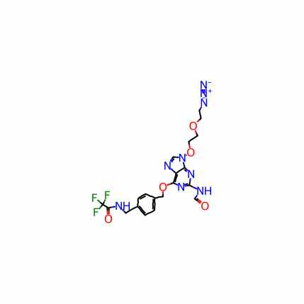 [N-]=[N+]=NCCOCCOn1cnc2c(OCc3ccc(CNC(=O)C(F)(F)F)cc3)nc(NC=O)nc21